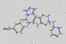 COc1ccc(Cn2c(=O)n3ncnc3c3c4c(sc32)CN(Cc2ccccn2)CC4)cc1